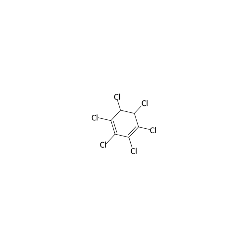 ClC1=C(Cl)C(Cl)C(Cl)C(Cl)=C1Cl